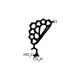 CCc1cc2c3c4c(cc5ccc6cc7c8c9c(cc(C(C)CC%10CC%10(C(=O)O)C(=O)O)c%10c1c3c(c%109)c1c4c5c6c81)C7)C2